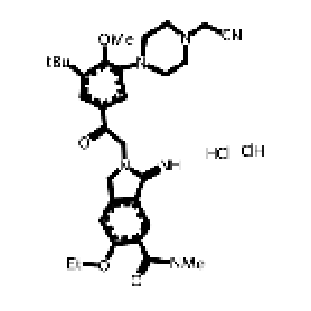 CCOc1cc2c(cc1C(=O)NC)C(=N)N(CC(=O)c1cc(N3CCN(CC#N)CC3)c(OC)c(C(C)(C)C)c1)C2.Cl.Cl